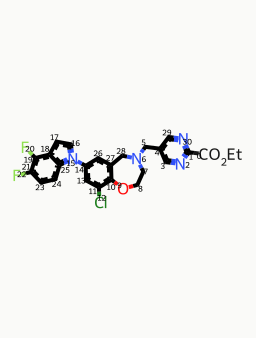 CCOC(=O)c1ncc(CN2CCOc3c(Cl)cc(-n4ccc5c(F)c(F)ccc54)cc3C2)cn1